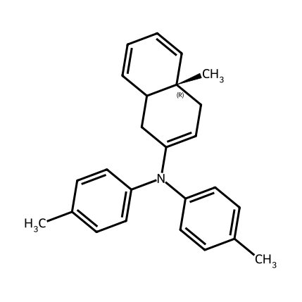 Cc1ccc(N(C2=CC[C@@]3(C)C=CC=CC3C2)c2ccc(C)cc2)cc1